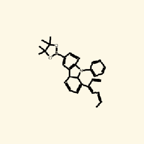 C=C/C(=C\C=C/C)C1=CC=CC2c3cc(B4OC(C)(C)C(C)(C)O4)ccc3N(c3ccccc3)C12